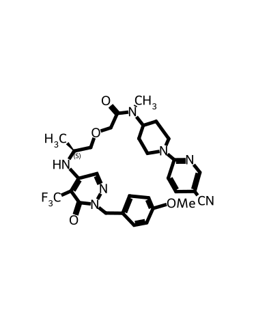 COc1ccc(Cn2ncc(N[C@@H](C)COCC(=O)N(C)C3CCN(c4ccc(C#N)cn4)CC3)c(C(F)(F)F)c2=O)cc1